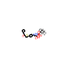 CC(C)(C)OC(=O)NC(CCc1ccc(-c2ccc(C(=O)CCc3ccccc3)s2)cc1)C(O)O